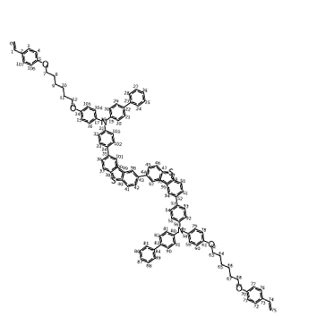 C=Cc1ccc(OCCCCCCOc2ccc(N(c3ccc(-c4ccccc4)cc3)c3ccc(-c4ccc5sc6ccc(-c7ccc8sc9ccc(-c%10ccc(N(c%11ccc(OCCCCCCOc%12ccc(C=C)cc%12)cc%11)c%11ccc(-c%12ccccc%12)cc%11)cc%10)cc9c8c7)cc6c5c4)cc3)cc2)cc1